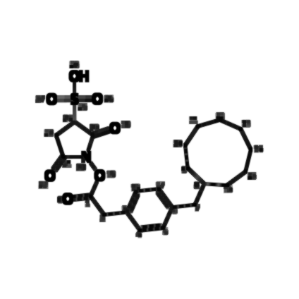 O=C(Cc1ccc(CC2CCCCCCCC2)cc1)ON1C(=O)CC(S(=O)(=O)O)C1=O